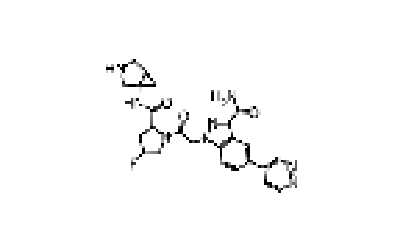 NC(=O)c1nn(CC(=O)N2CC(F)CC2C(=O)NC23CNCC2C3)c2ccc(-c3ccnnc3)cc12